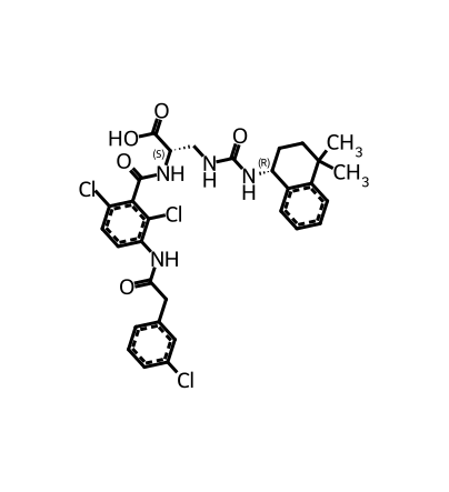 CC1(C)CC[C@@H](NC(=O)NC[C@H](NC(=O)c2c(Cl)ccc(NC(=O)Cc3cccc(Cl)c3)c2Cl)C(=O)O)c2ccccc21